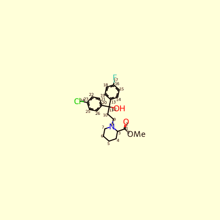 COC(=O)C1CCCCN1CCC(O)(c1ccc(F)cc1)c1ccc(Cl)cc1